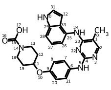 Cc1cnc(Nc2ccc(OC3CCN(C(=O)O)CC3)cc2)nc1Nc1cccc2[nH]ccc12